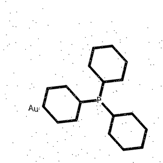 C1CCC(P(C2CCCCC2)C2CCCCC2)CC1.[Au]